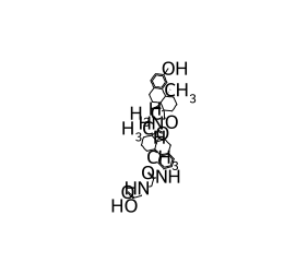 C[C@]1(C(=O)NC(=O)[C@@]2(C)CCC[C@]3(C)c4cc(NC(=O)CNCC(=O)O)ccc4CC[C@@H]23)CCC[C@]2(C)c3cc(O)ccc3CC[C@@H]12